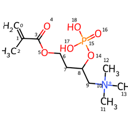 C=C(C)C(=O)OCCC(C[N+](C)(C)C)OP(=O)(O)O